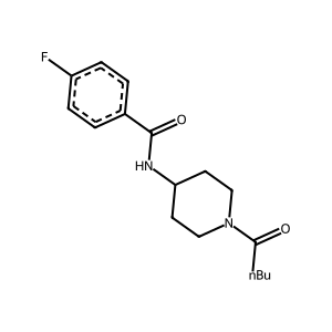 CCCCC(=O)N1CCC(NC(=O)c2ccc(F)cc2)CC1